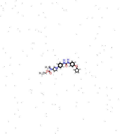 CCOC(=O)N(C)C1CCN(c2ccc(NC(=O)Nc3ccc(OC4CCCC4)cc3)cc2)C1